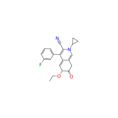 CCOC1C=C2C(=CN(C3CC3)C(C#N)=C2c2cccc(F)c2)CC1=O